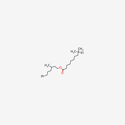 CCC(C)(C)CCCCCCCC(=O)OCCC(C)CCCC(C)C